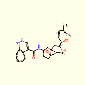 C=C(C)/C=C\C(O)=C(\O)CC12CC(NC(=O)C3=CNNc4ccccc43)CCC1(O)C2=C